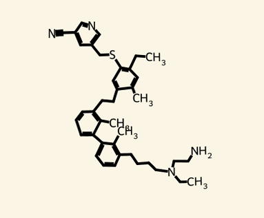 CCc1cc(C)c(CCc2cccc(-c3cccc(CCCCN(CC)CCN)c3C)c2C)cc1SCc1cncc(C#N)c1